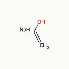 C=CO.[NaH]